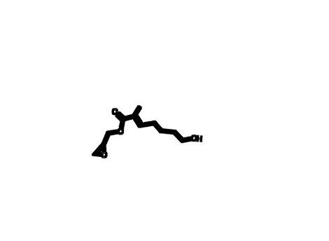 CC(=CCCCCO)C(=O)OCC1CO1